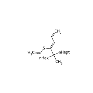 C=C/C=C(\SC=C)C(C)(CCCCCC)CCCCCCC